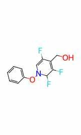 OCC1=C(F)C(F)N(Oc2ccccc2)C=C1F